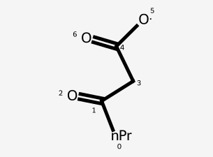 CCCC(=O)CC([O])=O